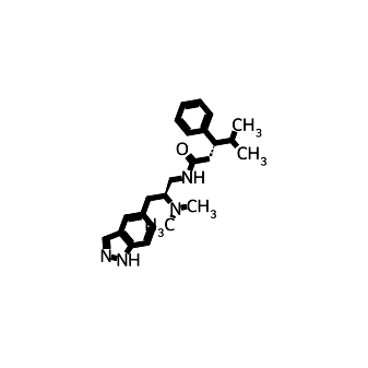 CC(C)[C@H](CC(=O)NC[C@H](Cc1ccc2[nH]ncc2c1)N(C)C)c1ccccc1